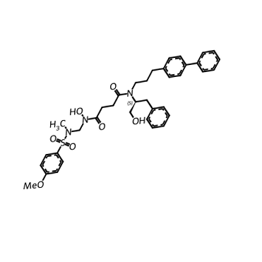 COc1ccc(S(=O)(=O)N(C)CN(O)C(=O)CCC(=O)N(CCCc2ccc(-c3ccccc3)cc2)[C@H](CO)Cc2ccccc2)cc1